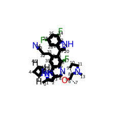 Cc1cc2c(O[C@@H](C)[C@@H]3CCCN3C)nc3c(F)c(-c4c[nH]c5c(F)cc(F)cc45)c(CCC#N)cc3c2n1[C@H]1[C@H]2CN[C@@H]1C2